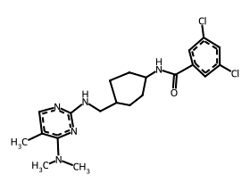 Cc1cnc(NCC2CCC(NC(=O)c3cc(Cl)cc(Cl)c3)CC2)nc1N(C)C